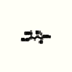 COC(=O)[C@@H](N)CC(OC)OC